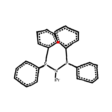 CC(C)N(P(c1ccccc1)c1ccccc1)P(c1ccccc1)c1ccccc1